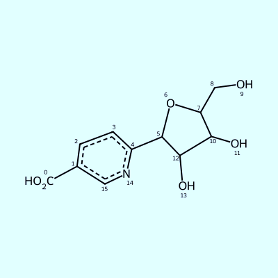 O=C(O)c1ccc(C2OC(CO)C(O)C2O)nc1